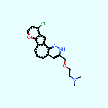 CN(C)CCOCC1=Cc2cccc3c(cc4c(Cl)ccoc43)c2=NN1